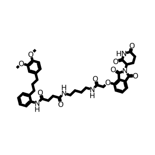 COc1ccc(CCCc2ccccc2NC(=O)CCC(=O)NCCCCNC(=O)COc2cccc3c2C(=O)N(C2CCC(=O)NC2=O)C3=O)cc1OC